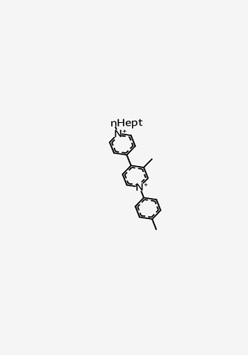 CCCCCCC[n+]1ccc(-c2cc[n+](-c3ccc(C)cc3)cc2C)cc1